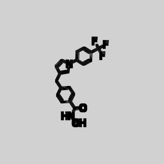 O=C(NO)c1ccc(Cc2ccn(-c3ccc(C(F)(F)F)cc3)c2)cc1